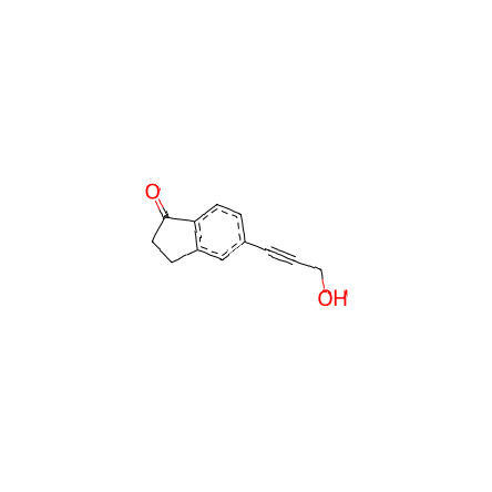 O=C1CCc2cc(C#CCO)ccc21